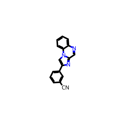 N#Cc1cccc(-c2cn3c(cnc4ccccc43)n2)c1